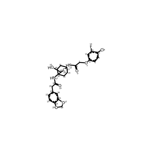 O=C(COc1ccc(Cl)c(F)c1)NC12CCC(NC(=O)Cc3ccc4c(c3)OCO4)(CC1)C(O)C2